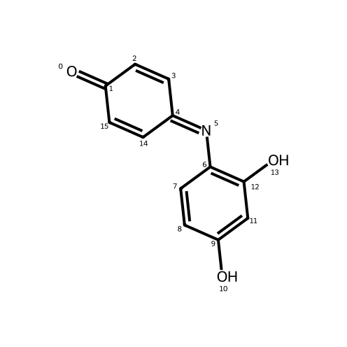 O=C1C=CC(=Nc2ccc(O)cc2O)C=C1